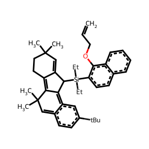 C=CCOc1c([Si](CC)(CC)C2C3=CC(C)(C)CCC3=C3C2=c2cc(C(C)(C)C)ccc2=CC3(C)C)ccc2ccccc12